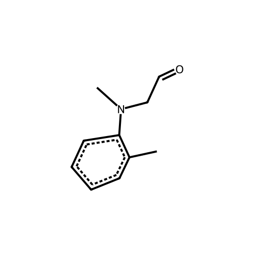 Cc1ccccc1N(C)CC=O